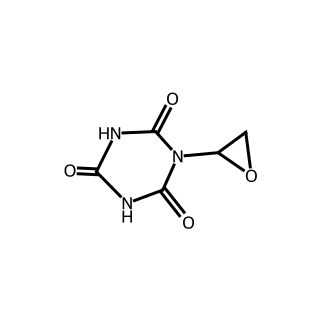 O=c1[nH]c(=O)n(C2CO2)c(=O)[nH]1